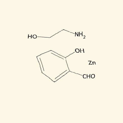 NCCO.O=Cc1ccccc1O.[Zn]